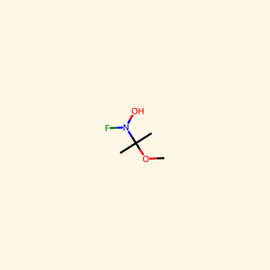 COC(C)(C)N(O)F